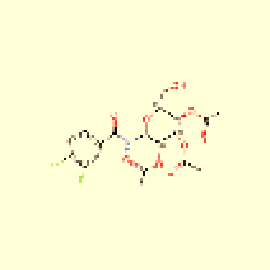 CC(=O)O[C@H]1[C@H](OC(C)=O)[C@@H](OC(C)=O)C(NC(=O)c2ccc(F)c(F)c2)O[C@@H]1CO